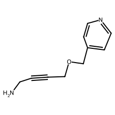 NCC#CCOCc1ccncc1